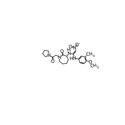 COc1ccc(N/C(=C/[N+](=O)[O-])N[C@H]2CCCCN(CC(=O)N3CCCC3)C2=O)cc1C